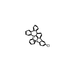 Clc1ccc2[nH]c3c4c(ccc3c2c1)-c1ccccc1-c1ccccc1N4c1ccccc1